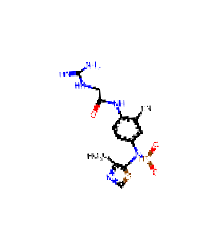 N#Cc1cc(N(c2scnc2C(=O)O)[SH](=O)=O)ccc1NC(=O)CNC(=N)N